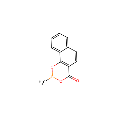 CP1OC(=O)c2ccc3ccccc3c2O1